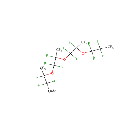 COC(F)(F)C(F)(OC(F)(F)C(F)(OC(F)(F)C(F)(OC(F)(F)C(F)(F)C(F)(F)F)C(F)(F)F)C(F)(F)F)C(F)(F)F